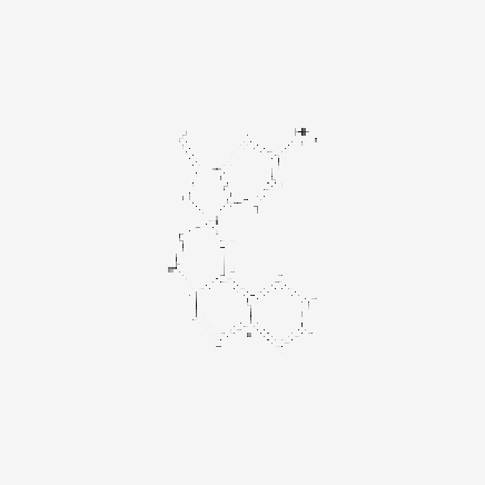 C=CCC1(c2ccc(N)cc2)C=Cc2ccc3ccccc3c2O1